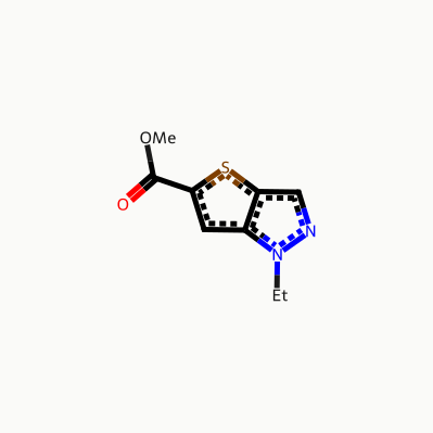 CCn1ncc2sc(C(=O)OC)cc21